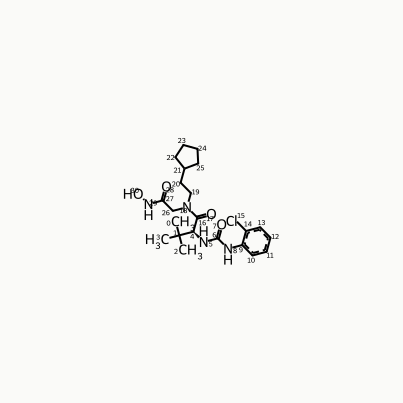 CC(C)(C)[C@H](NC(=O)Nc1ccccc1Cl)C(=O)N(CCC1CCCC1)CC(=O)NO